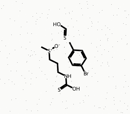 C[S+]([O-])CCCNC(O)=S.Cc1ccc(Br)cc1.OC=S